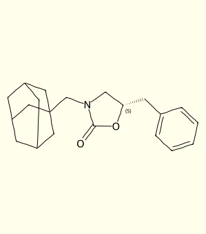 O=C1O[C@@H](Cc2ccccc2)CN1CC12CC3CC(CC(C3)C1)C2